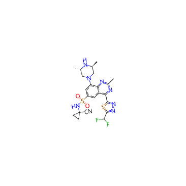 Cc1nc(-c2nnc(C(F)F)s2)c2cc(S(=O)(=O)NC3(C#N)CC3)cc(N3C[C@H](C)N[C@@H](C)C3)c2n1